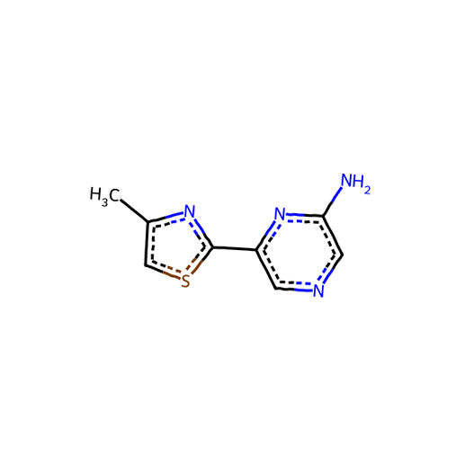 Cc1csc(-c2cncc(N)n2)n1